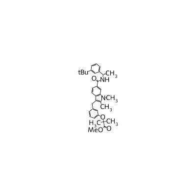 COC(=O)C(C)(C)Oc1cccc(Cc2c(C)n(C)c3cc(C(=O)N[C@H](C)c4cccc(C(C)(C)C)c4)ccc23)c1